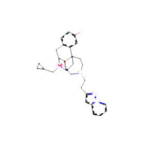 Oc1ccc2c(c1)C13CCN(CCc4cc5ccccn5n4)CCC1(O)C(C2)N(CC1CC1)CC3